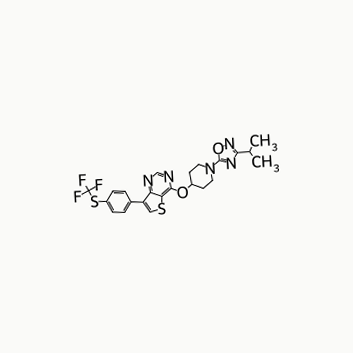 CC(C)c1noc(N2CCC(Oc3ncnc4c(-c5ccc(SC(F)(F)F)cc5)csc34)CC2)n1